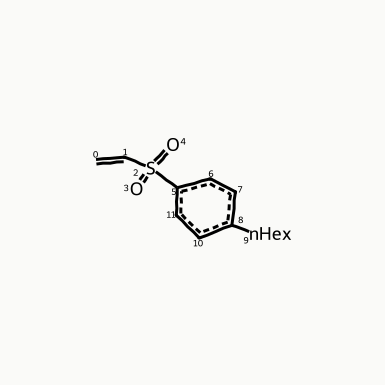 C=CS(=O)(=O)c1ccc(CCCCCC)cc1